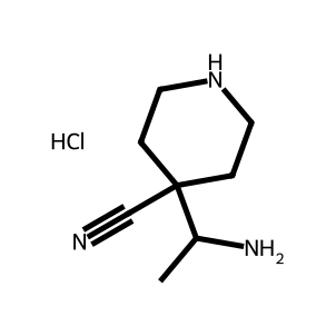 CC(N)C1(C#N)CCNCC1.Cl